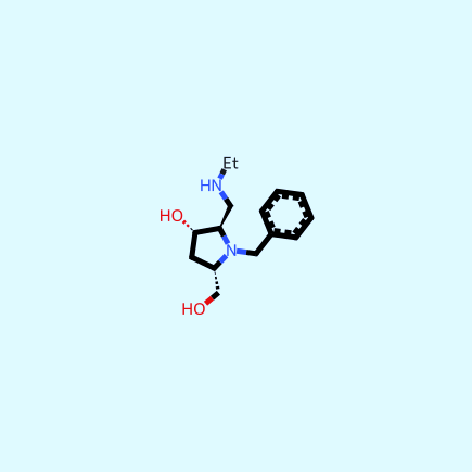 CCNC[C@@H]1[C@@H](O)C[C@@H](CO)N1Cc1ccccc1